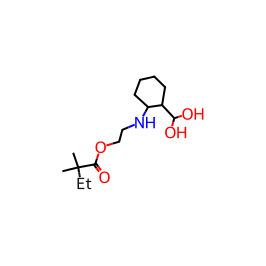 CCC(C)(C)C(=O)OCCNC1CCCCC1C(O)O